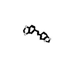 C(=Cc1ccc2c(c1)OCO2)c1ccc2c(c1)OCO2